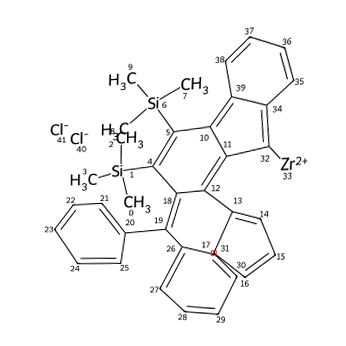 C[Si](C)(C)c1c([Si](C)(C)C)c2c(c(C3=CC=CC3)c1=C(c1ccccc1)c1ccccc1)[C]([Zr+2])=c1ccccc1=2.[Cl-].[Cl-]